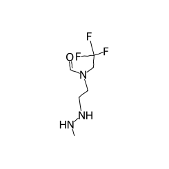 CNNCCN(C=O)CC(F)(F)F